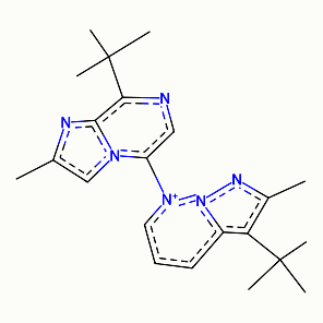 Cc1cn2c(-[n+]3cccc4c(C(C)(C)C)c(C)nn43)cnc(C(C)(C)C)c2n1